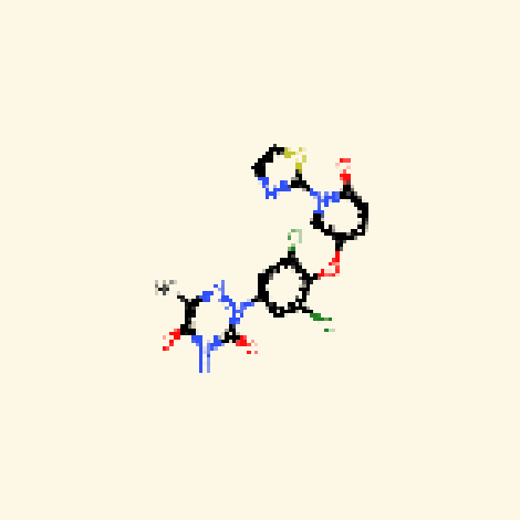 N#Cc1nn(-c2cc(Cl)c(Oc3ccc(=O)n(-c4nccs4)c3)c(Cl)c2)c(=O)[nH]c1=O